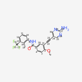 COc1ccc(C(=O)Nc2cccc(C(F)(F)F)c2C)cc1C#Cc1cnc(N)nc1